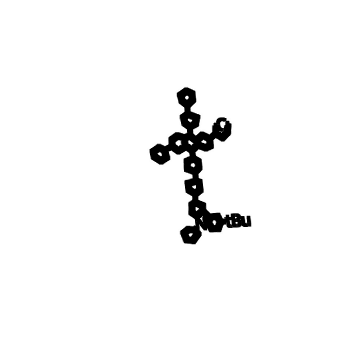 CC(C)(C)c1ccc2c(c1)c1cc(-c3ccc(-c4ccc(-c5c6ccc(-c7ccccc7)cc6c(-c6ccc(-c7ccccc7)cc6)c6ccc(-c7ccccc7)cc56)cc4)cc3)ccc1n2-c1ccccc1